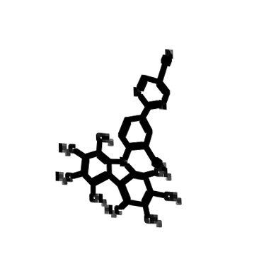 Cc1c(C)c(C)c2c(c1C)c1c(C)c(C)c(C)c(C)c1n2-c1ccc(-c2ncc(C#N)cn2)cc1C#N